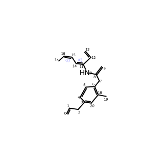 C=CCc1ccc(CC(=C)N/C(C=C)=C/C=C\C)c(C)c1